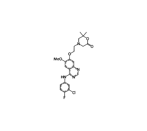 COc1cc2c(Nc3ccc(F)c(Cl)c3)ncnc2cc1OCCN1CC(=O)OC(C)(C)C1